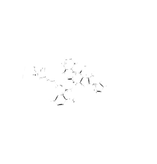 COc1ccc(F)cc1[C@H](Cn1c(=O)n(C2CCCNC2=O)c(=O)c2c(C)c(-n3cccn3)sc21)OCCOCC[N+](C)(C)C